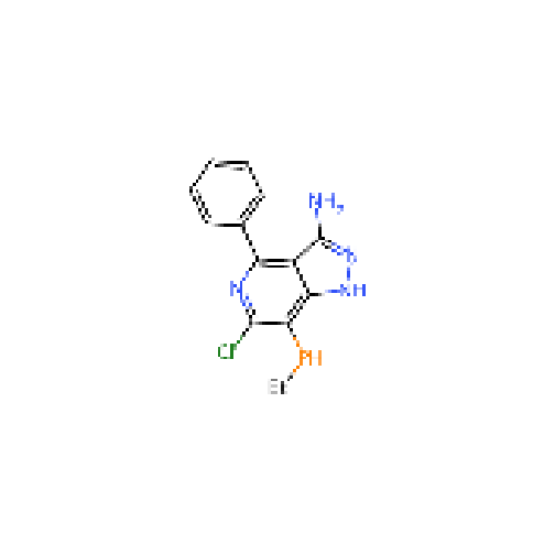 CCPc1c(Cl)nc(-c2ccccc2)c2c(N)n[nH]c12